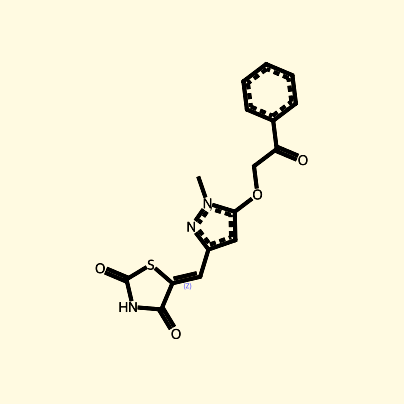 Cn1nc(/C=C2\SC(=O)NC2=O)cc1OCC(=O)c1ccccc1